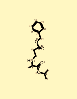 CC(C)OC(=O)C(C)NCCC(=O)OCc1ccccc1